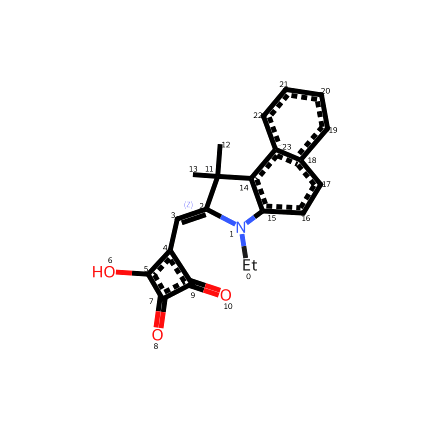 CCN1/C(=C\c2c(O)c(=O)c2=O)C(C)(C)c2c1ccc1ccccc21